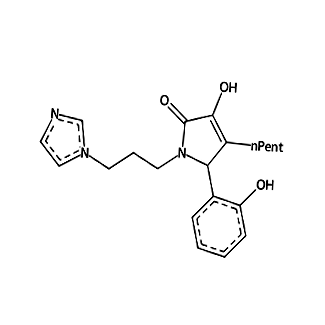 CCCCCC1=C(O)C(=O)N(CCCn2ccnc2)C1c1ccccc1O